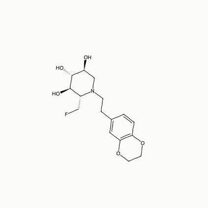 O[C@H]1[C@H](O)[C@@H](O)CN(CCc2ccc3c(c2)OCCO3)[C@@H]1CF